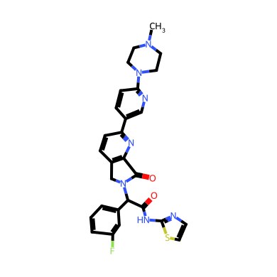 CN1CCN(c2ccc(-c3ccc4c(n3)C(=O)N(C(C(=O)Nc3nccs3)c3cccc(F)c3)C4)cn2)CC1